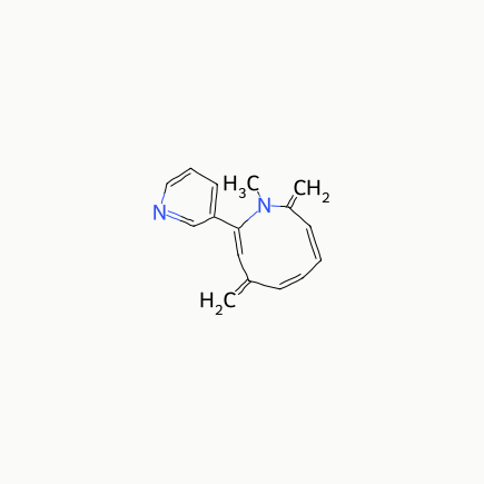 C=c1ccccc(=C)n(C)c(-c2cccnc2)c1